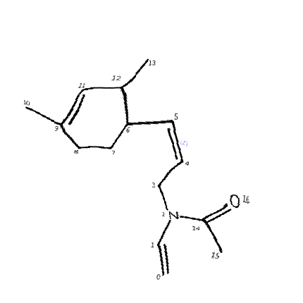 C=CN(C/C=C\C1CCC(C)=CC1C)C(C)=O